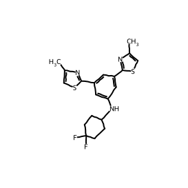 Cc1csc(-c2cc(NC3CCC(F)(F)CC3)cc(-c3nc(C)cs3)c2)n1